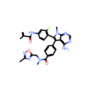 C=C(C)C(=O)Nc1ccc(-c2c(-c3ccc(C(=O)N(C)Cc4nc(C)no4)cc3)c3c(N)ncnc3n2C)c(F)c1